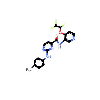 O=C(Nc1cnccc1OC(F)C(F)F)c1ccnc(Nc2ccc(C(F)(F)F)cc2)n1